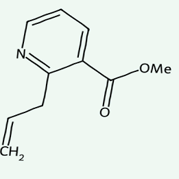 C=CCc1ncccc1C(=O)OC